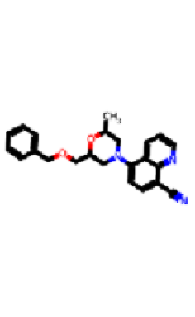 CC1CN(c2ccc(C#N)c3ncccc23)CC(COCc2ccccc2)O1